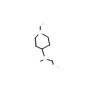 [CH2]CN(C)C1CCN(C)CC1